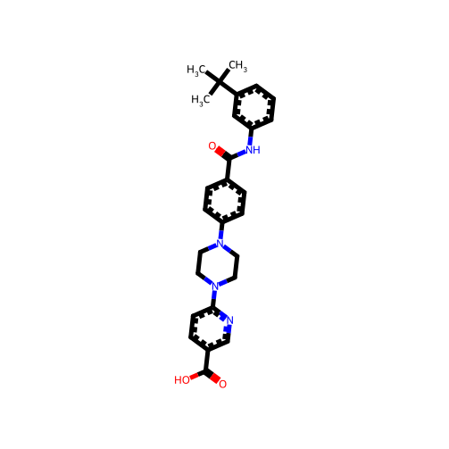 CC(C)(C)c1cccc(NC(=O)c2ccc(N3CCN(c4ccc(C(=O)O)cn4)CC3)cc2)c1